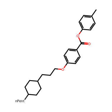 CCCCCC1CCC(CCCOc2ccc(C(=O)Oc3ccc(C)cc3)cc2)CC1